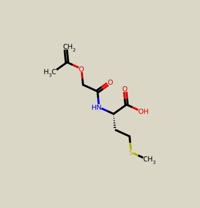 C=C(C)OCC(=O)N[C@@H](CCSC)C(=O)O